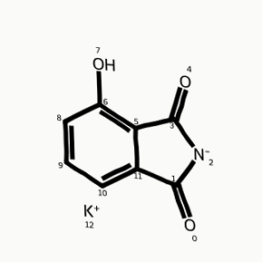 O=C1[N-]C(=O)c2c(O)cccc21.[K+]